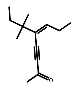 CCC=C(C#CC(C)=O)C(C)(C)CC